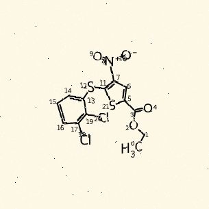 CCOC(=O)c1cc([N+](=O)[O-])c(Sc2cccc(Cl)c2Cl)s1